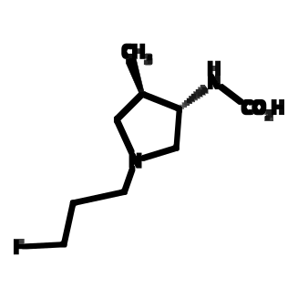 C[C@@H]1CN(CCCF)C[C@H]1NC(=O)O